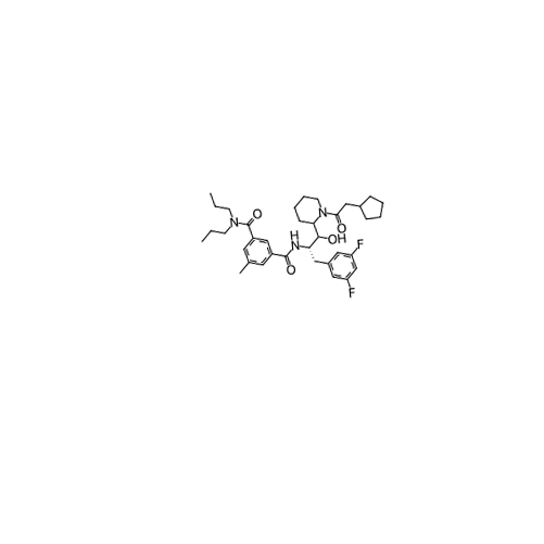 CCCN(CCC)C(=O)c1cc(C)cc(C(=O)N[C@@H](Cc2cc(F)cc(F)c2)C(O)C2CCCCN2C(=O)CC2CCCC2)c1